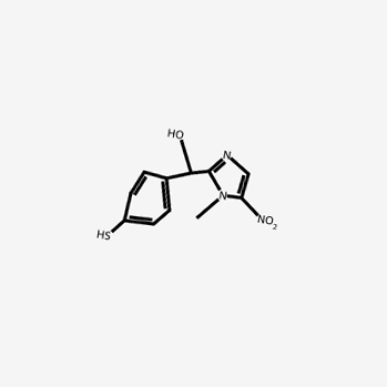 Cn1c([N+](=O)[O-])cnc1C(O)c1ccc(S)cc1